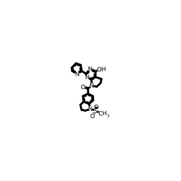 CS(=O)(=O)N1CCCc2cc(C(=O)N3CCCc4c(O)nc(-c5ccccn5)nc43)ccc21